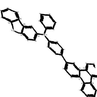 c1ccc(N(c2ccc(-c3ccc4c5ccccc5c5ccccc5c4c3)cc2)c2ccc3sc4ccccc4c3c2)cc1